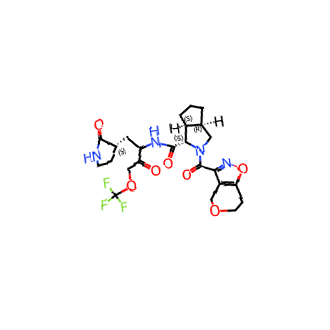 O=C(COC(F)(F)F)C(C[C@@H]1CCNC1=O)NC(=O)[C@@H]1[C@H]2CCC[C@H]2CN1C(=O)c1noc2c1COCC2